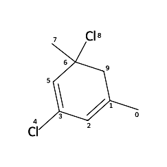 CC1=CC(Cl)=CC(C)(Cl)C1